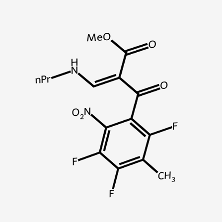 CCCNC=C(C(=O)OC)C(=O)c1c(F)c(C)c(F)c(F)c1[N+](=O)[O-]